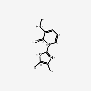 CNc1cccn(-c2nc(C)c(C)s2)c1=O